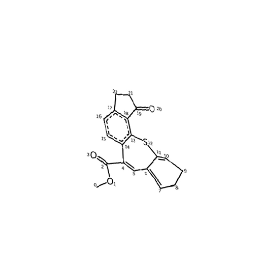 COC(=O)C1=CC2=CCCC=C2Sc2c1ccc1c2C(=O)CC1